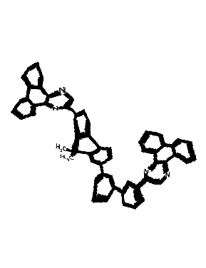 CC1(C)c2cc(-c3cccc(-c4cccc(-c5cnc6c7ccccc7c7ccccc7c6n5)c4)c3)ccc2-c2ccc(-c3cnc4c5ccccc5c5ccccc5c4n3)cc21